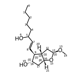 CCCCCC(O)C=C[C@H]1[C@@H]2C[C@@H](OC)O[C@@H]2C[C@@H]1O